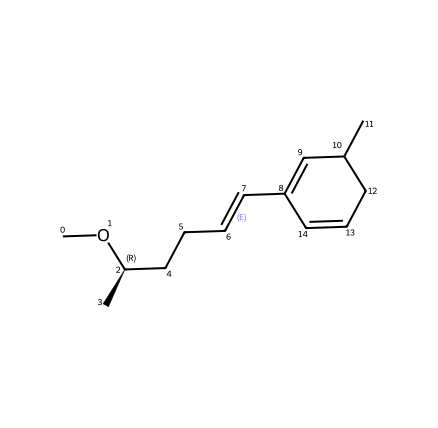 CO[C@H](C)CC/C=C/C1=CC(C)CC=C1